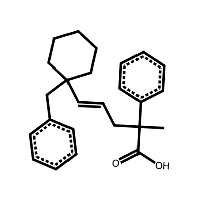 CC(CC=CC1(Cc2ccccc2)CCCCC1)(C(=O)O)c1ccccc1